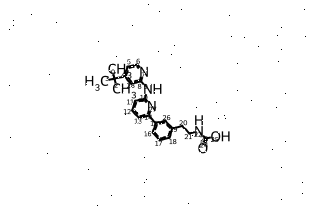 CC(C)(C)c1ccnc(Nc2cccc(-c3cccc(CCNC(=O)O)c3)n2)c1